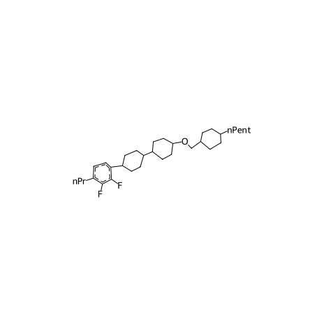 CCCCCC1CCC(COC2CCC(C3CCC(c4ccc(CCC)c(F)c4F)CC3)CC2)CC1